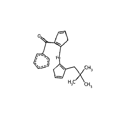 CC(C)(C)CC1=[C]([Fe][C]2=C(C(=O)c3ccccc3)C=CC2)CC=C1